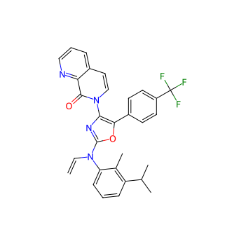 C=CN(c1nc(-n2ccc3cccnc3c2=O)c(-c2ccc(C(F)(F)F)cc2)o1)c1cccc(C(C)C)c1C